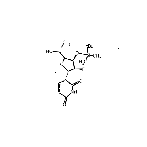 C[C@@H](O)C1O[C@@H](n2ccc(=O)[nH]c2=O)[C@H](F)[C@@H]1O[Si](C)(C)C(C)(C)C